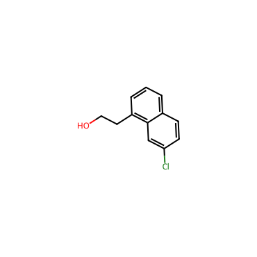 OCCc1cccc2ccc(Cl)cc12